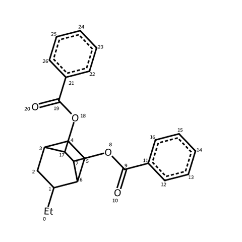 CCC1CC2CCC1C(OC(=O)c1ccccc1)C2OC(=O)c1ccccc1